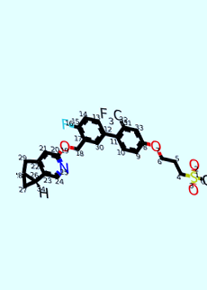 CS(=O)(=O)CCCOc1ccc(-c2ccc(F)c(COc3cc4c(cn3)[C@@H]3CC3C4)c2)c(C(F)(F)F)c1